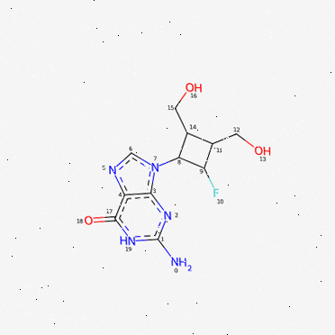 Nc1nc2c(ncn2C2C(F)C(CO)C2CO)c(=O)[nH]1